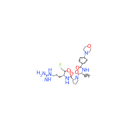 CC(C)[C@H](NC(=O)c1ccc(N2CCOCC2)cc1)C(=O)N1CCC[C@H]1C(=O)N[C@@H](CCCNC(=N)N)C(=O)CF